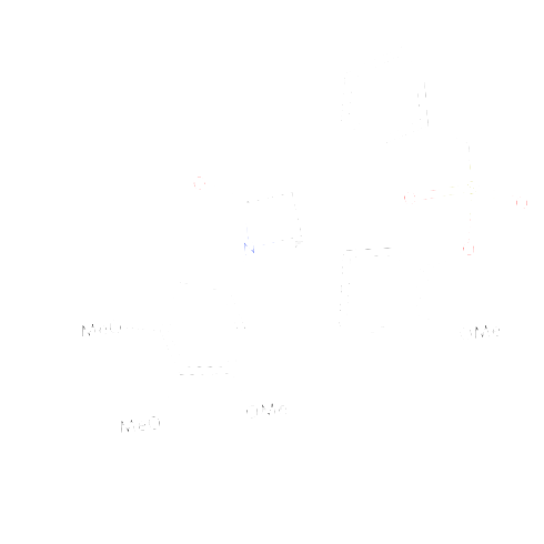 COc1ccc([C@H]2C(C)C(=O)N2c2cc(OC)c(OC)c(OC)c2)cc1OS(=O)(=O)Cc1ccccc1